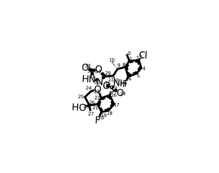 Cc1c(Cl)ccc(F)c1[C@@H](C)[C@H](NS(=O)(=O)c1ccc(F)c2c1OCCC2(C)O)c1n[nH]c(=O)o1